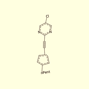 CCCCCc1ccc(C#Cc2ncc(Cl)cn2)cc1